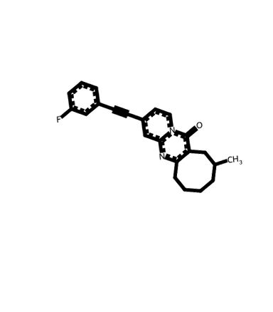 CC1CCCCc2nc3cc(C#Cc4cccc(F)c4)ccn3c(=O)c2C1